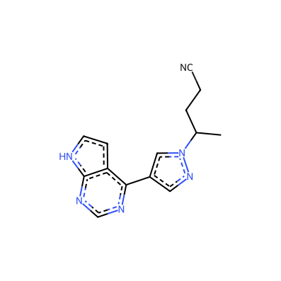 CC(CCC#N)n1cc(-c2ncnc3[nH]ccc23)cn1